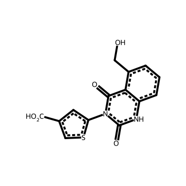 O=C(O)c1csc(-n2c(=O)[nH]c3cccc(CO)c3c2=O)c1